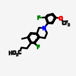 Cc1cc2c(c(F)c1CCC(=O)O)CCN(c1cc(OC(F)(F)F)ccc1F)C2